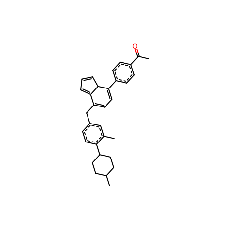 CC(=O)c1ccc(C2=CC=C(Cc3ccc(C4CCC(C)CC4)c(C)c3)C3=CC=CC32)cc1